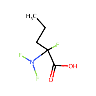 CCCC(F)(C(=O)O)N(F)F